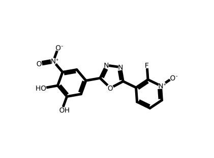 O=[N+]([O-])c1cc(-c2nnc(-c3ccc[n+]([O-])c3F)o2)cc(O)c1O